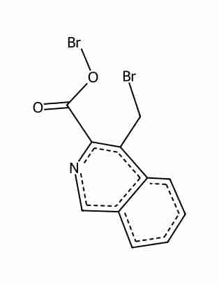 O=C(OBr)c1ncc2ccccc2c1CBr